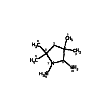 CC1(C)CC(C)(C)N([SiH3])C1[SiH3]